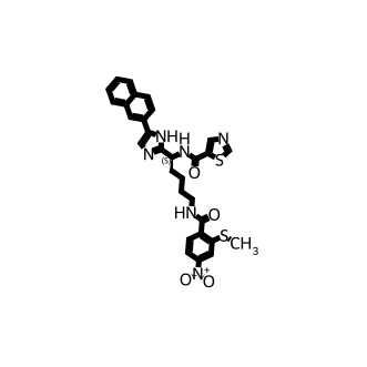 CSc1cc([N+](=O)[O-])ccc1C(=O)NCCCC[C@H](NC(=O)c1cncs1)c1ncc(-c2ccc3ccccc3c2)[nH]1